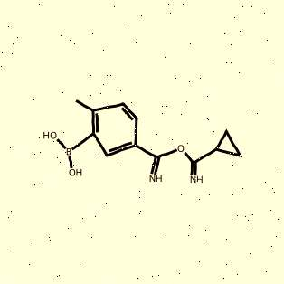 Cc1ccc(C(=N)OC(=N)C2CC2)cc1B(O)O